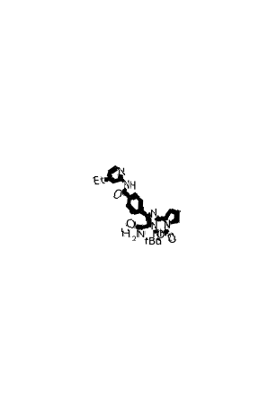 CCc1ccnc(NC(=O)c2ccc(-c3nc(C4CCCN4C(=O)OC(C)(C)C)n(N)c3C(N)=O)cc2)c1